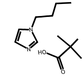 CC(C)(C)C(=O)O.CCCCn1ccnc1